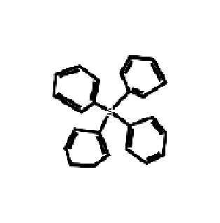 C1=CC(S(c2ccccc2)(c2ccccc2)c2ccccc2)=CCC1